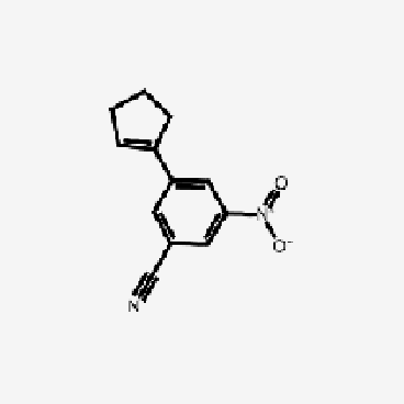 N#Cc1cc(C2=CCCC2)cc([N+](=O)[O-])c1